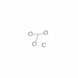 ClC(Cl)Cl.[C]